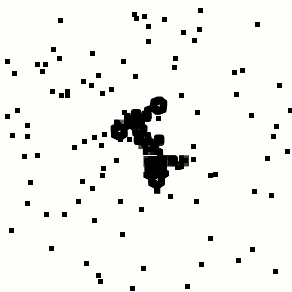 Cc1cc(C)c(S(=O)(=O)NC(CNC(=O)C2=NO[C@]3(C2)CC(C(N)c2ccccn2)N(C(=O)OCc2ccccc2)C3)C(=O)O)c(C)c1